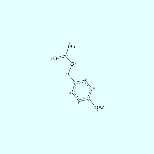 CC(=O)Oc1ccc(COC(=O)C(C)(C)C)cc1